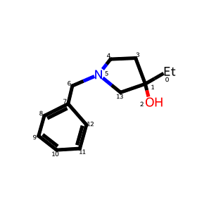 CCC1(O)CCN(Cc2ccccc2)C1